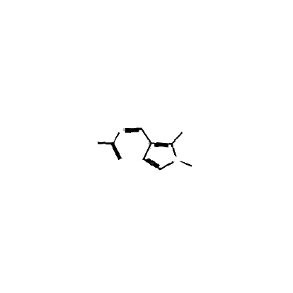 C=C(/N=C\c1ccn(C(C)(C)C)c1C)C(C)C